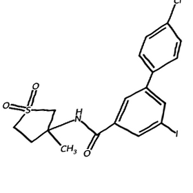 CC1(NC(=O)c2cc(I)cc(-c3ccc(Cl)cc3)c2)CCS(=O)(=O)C1